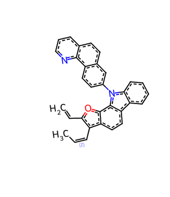 C=Cc1oc2c(ccc3c4ccccc4n(-c4ccc5c(ccc6cccnc65)c4)c32)c1/C=C\C